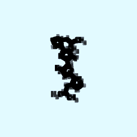 CC(C)Cc1ccsc1-c1cc(F)c(-c2sc(-c3sccc3CC(C)C)cc2F)s1